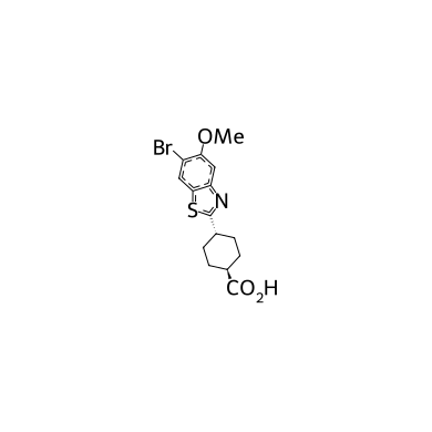 COc1cc2nc([C@H]3CC[C@H](C(=O)O)CC3)sc2cc1Br